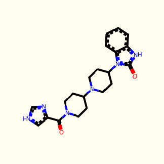 O=C(c1c[nH]cn1)N1CCC(N2CCC(n3c(=O)[nH]c4ccccc43)CC2)CC1